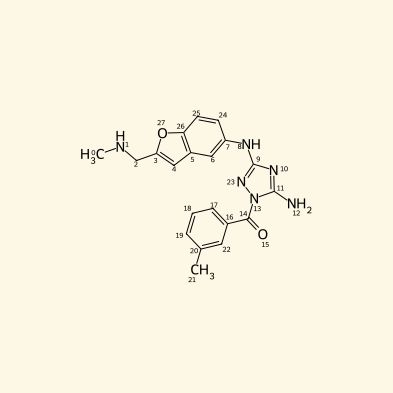 CNCc1cc2cc(Nc3nc(N)n(C(=O)c4cccc(C)c4)n3)ccc2o1